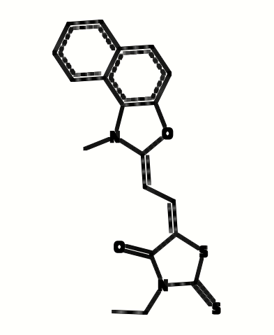 CCN1C(=O)/C(=C\C=C2/Oc3ccc4ccccc4c3N2C)SC1=S